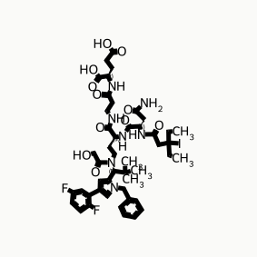 CCC(I)(CC)CC(=O)N[C@@H](CC(N)=O)C(=O)N[C@@H](CCN(C(=O)CO)[C@@H](c1cc(-c2cc(F)ccc2F)cn1Cc1ccccc1)C(C)(C)C)C(=O)NCCC(=O)N[C@H](CCC(=O)O)C(=O)O